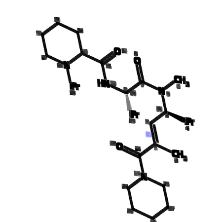 C/C(=C\[C@H](C(C)C)N(C)C(=O)[C@@H](NC(=O)C1CCCCN1C(C)C)C(C)C)C(=O)N1CCCCC1